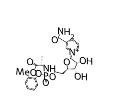 COC(=O)[C@H](C)NP(=O)(OCC[C@H]1O[C@@H]([n+]2cccc(C(N)=O)c2)[C@H](O)[C@@H]1O)Oc1ccccc1